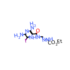 CCOC(=O)NN=CNC(=O)c1nc(I)c(N)nc1N